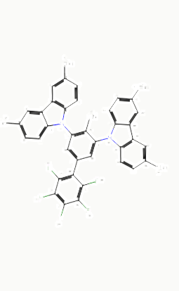 CC(C)(C)c1ccc2c(c1)c1cc(C(C)(C)C)ccc1n2-c1cc(-c2c(F)c(F)c(F)c(F)c2F)cc(-n2c3ccc(C(C)(C)C)cc3c3cc(C(C)(C)C)ccc32)c1C#N